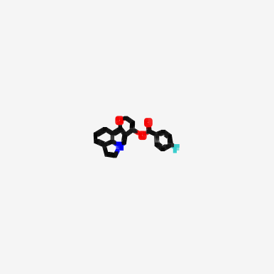 O=C(OC1=CCOC2=C3C=CC=C4C=CN(C=C12)C43)c1ccc(F)cc1